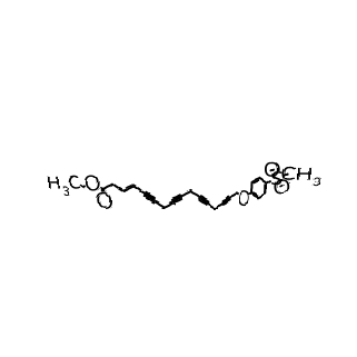 CCOC(=O)CCCC#CCC#CCC#CCC#CCOc1ccc(S(C)(=O)=O)cc1